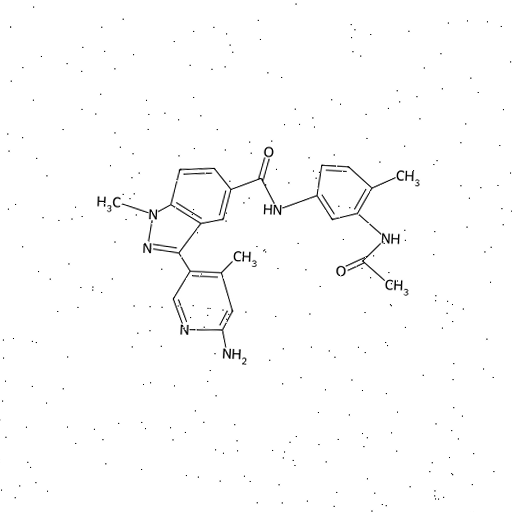 CC(=O)Nc1cc(NC(=O)c2ccc3c(c2)c(-c2cnc(N)cc2C)nn3C)ccc1C